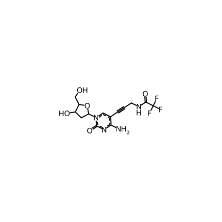 Nc1nc(=O)n(C2CC(O)C(CO)O2)cc1C#CCNC(=O)C(F)(F)F